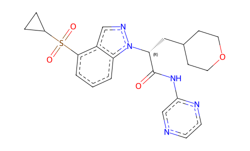 O=C(Nc1cnccn1)[C@@H](CC1CCOCC1)n1ncc2c(S(=O)(=O)C3CC3)cccc21